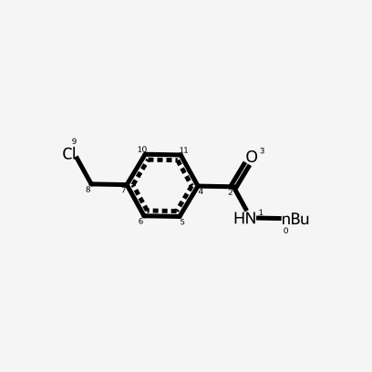 CCCCNC(=O)c1ccc(CCl)cc1